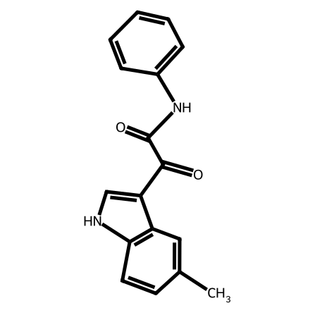 Cc1ccc2[nH]cc(C(=O)C(=O)Nc3ccccc3)c2c1